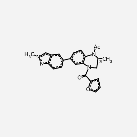 CC(=O)N1c2ccc(-c3ccc4nn(C)cc4c3)cc2N(C(=O)c2ccco2)C[C@@H]1C